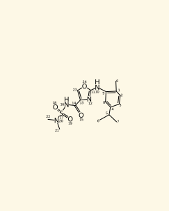 Cc1ccc(C(C)C)cc1Nc1nc(C(=O)NS(=O)(=O)N(C)C)co1